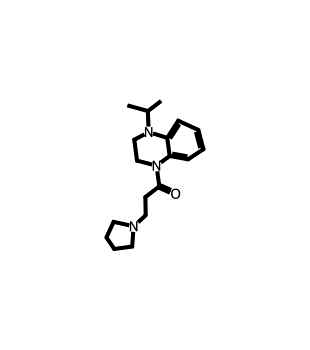 CC(C)N1CCN(C(=O)CCN2CCCC2)c2ccccc21